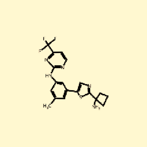 Cc1cc(Nc2nccc(C(F)(F)F)n2)cc(-c2cnc(C3(N)CCC3)s2)c1